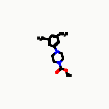 Cc1cc(C(=O)O)cc(N2CCN(C(=O)OC(C)(C)C)CC2)c1